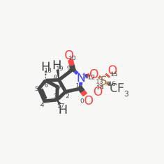 O=C1C2[C@@H]3C=C[C@H](C3)[C@@H]2C(=O)N1OS(=O)(=O)C(F)(F)F